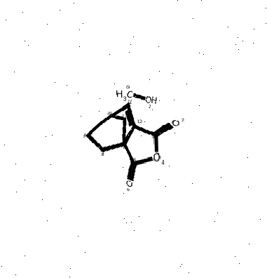 CO.O=C1OC(=O)C23CCC(C=C12)C3